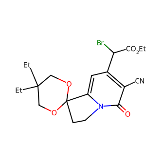 CCOC(=O)C(Br)c1cc2n(c(=O)c1C#N)CCC21OCC(CC)(CC)CO1